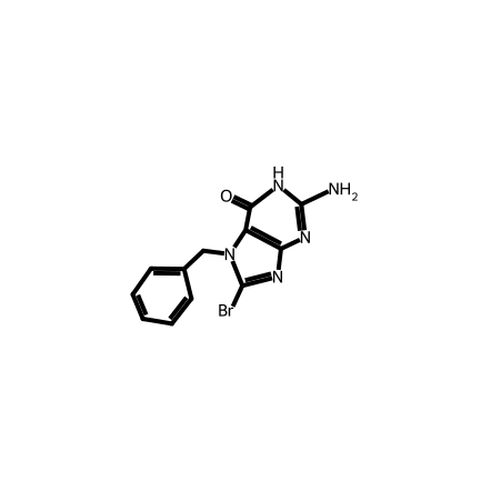 Nc1nc2nc(Br)n(Cc3ccccc3)c2c(=O)[nH]1